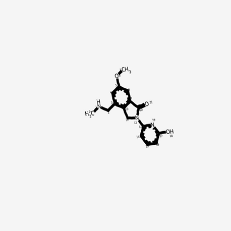 CNCc1cc(OC)cc2c1CN(c1cccc(O)n1)C2=O